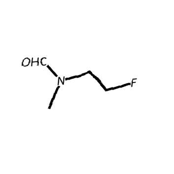 CN(C=O)CCF